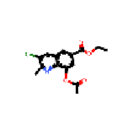 CCOC(=O)c1cc(OC(C)=O)c2nc(C)c(Cl)cc2c1